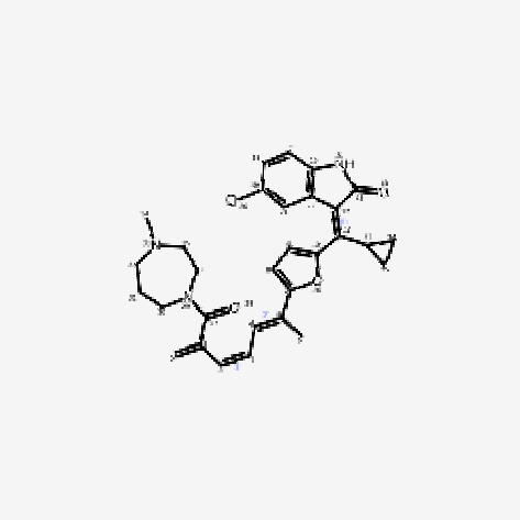 C=C(/C=C\C=C(/C)c1ccc(/C(=C2/C(=O)Nc3ccc(Cl)cc32)C2CC2)o1)C(=O)N1CCCN(C)CC1